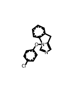 Clc1ccc(O[N+]23C=NC=C2Cc2ccccc23)cc1